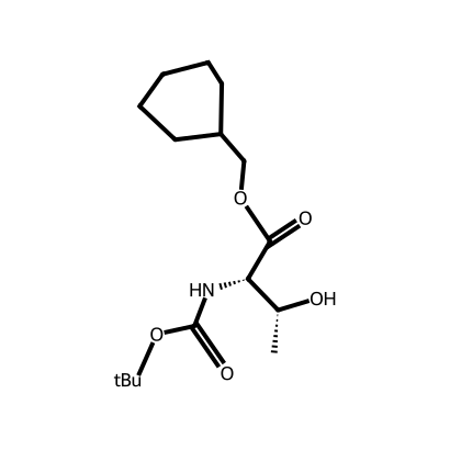 C[C@@H](O)[C@H](NC(=O)OC(C)(C)C)C(=O)OCC1CCCCC1